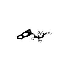 CC(C)=CC(C)(C(=O)OC1CC2CC1C1CCCC21)C(C)C